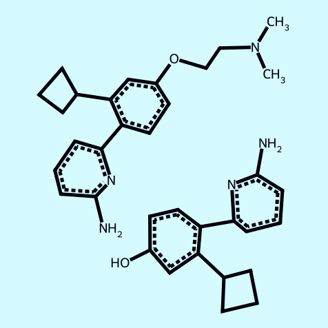 CN(C)CCOc1ccc(-c2cccc(N)n2)c(C2CCC2)c1.Nc1cccc(-c2ccc(O)cc2C2CCC2)n1